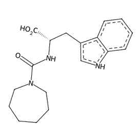 O=C(O)[C@H](Cc1c[nH]c2ccccc12)NC(=O)N1CCCCCC1